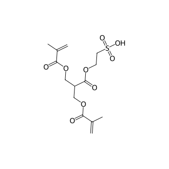 C=C(C)C(=O)OCC(COC(=O)C(=C)C)C(=O)OCCS(=O)(=O)O